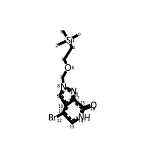 C[Si](C)(C)CCOCn1cc2c(Br)c[nH]c(=O)c2n1